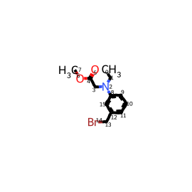 CCN(CC(=O)OC)c1cccc(CBr)c1